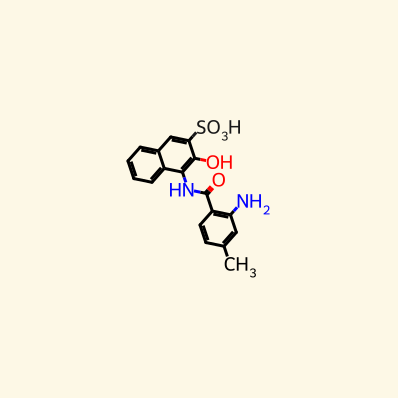 Cc1ccc(C(=O)Nc2c(O)c(S(=O)(=O)O)cc3ccccc23)c(N)c1